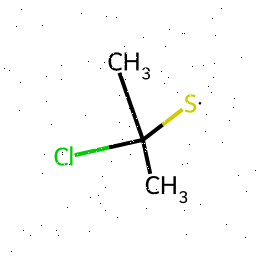 CC(C)([S])Cl